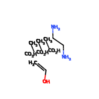 C=CO.CC(=O)O.CC(=O)O.CC(=O)O.NCCN